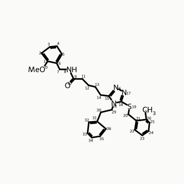 COc1ccccc1CNC(=O)CCCCc1nnc(SCc2ccccc2C)n1CCc1ccccc1